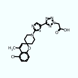 CC1=CC2(CCN(c3ncc(-c4nnn(CC(=O)O)n4)s3)CC2)Oc2cccc(Cl)c21